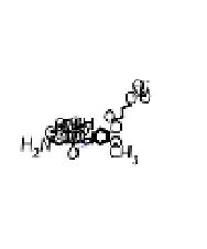 COc1cc(/C=C/C(=O)C(CCN)C(O)(P(=O)(O)O)P(=O)(O)O)ccc1OC(=O)CCCO[N+](=O)[O-]